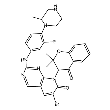 CC1CNCCN1c1ccc(Nc2ncc3cc(Br)c(=O)n(C4C(=O)c5ccccc5OC4(C)C)c3n2)cc1F